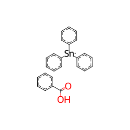 O=C(O)c1ccccc1.c1cc[c]([Sn]([c]2ccccc2)[c]2ccccc2)cc1